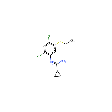 N/C(=N\c1cc(SCC(F)(F)F)c(Cl)cc1Cl)C1CC1